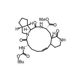 COC(=O)[C@@H]1C[C@@H]2C(=O)NCCC2C=CCC[C@H](NC(=O)OC(C)(C)C)C(=O)N2C[C@@H]3CCC[C@@H]3[C@H]2C(=O)N1